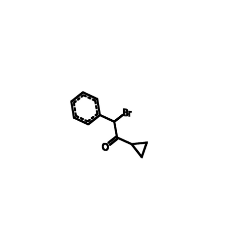 O=C(C1CC1)C(Br)c1ccccc1